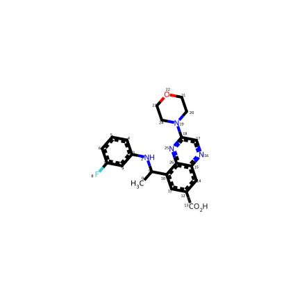 CC(Nc1cccc(F)c1)c1cc(C(=O)O)cc2ncc(N3CCOCC3)nc12